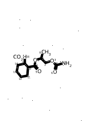 CC(COC(N)=O)OC(=O)C1CCCCC1C(=O)O